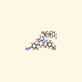 CC(C)(C)OC(=O)N1CC[C@]2(C1)C(=O)N(c1ccc(C#N)cc1F)CC(=O)N2Cc1ccc(C(F)(F)F)cc1